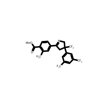 COC(=O)c1ccc(C2=NCC(c3cc(C(F)(F)F)cc(C(F)(F)F)c3)(C(F)(F)F)C2)cc1C